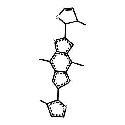 Cc1ccsc1-c1cc2c(C)c3sc(C4SC=CC4C)cc3c(C)c2s1